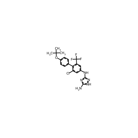 CC(C)(C)Oc1ccc(-c2c(Cl)cc(Nc3n[nH]c(N)n3)cc2C(F)(F)F)cc1